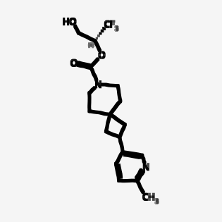 Cc1ccc(C2CC3(CCN(C(=O)O[C@H](CO)C(F)(F)F)CC3)C2)cn1